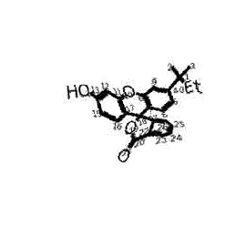 CCC(C)(C)c1ccc2c(c1)Oc1cc(O)ccc1C21OC(=O)c2ccccc21